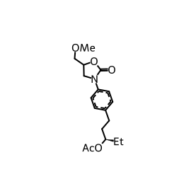 CC[C@H](CCc1ccc(N2CC(COC)OC2=O)cc1)OC(C)=O